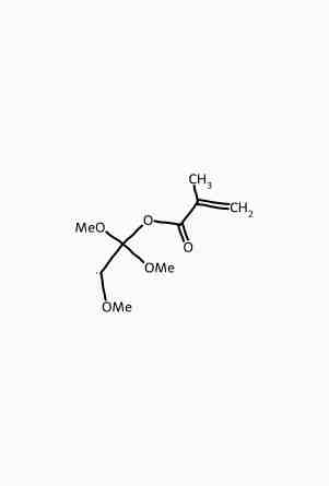 C=C(C)C(=O)OC([CH]OC)(OC)OC